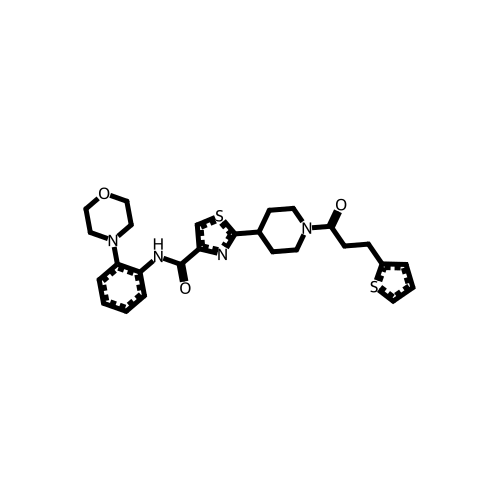 O=C(Nc1ccccc1N1CCOCC1)c1csc(C2CCN(C(=O)CCc3cccs3)CC2)n1